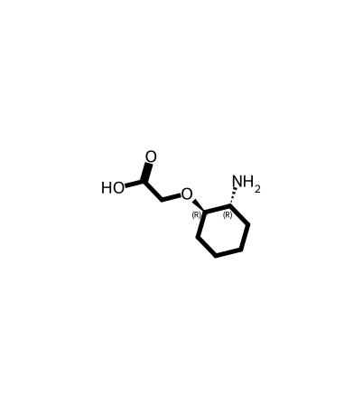 N[C@@H]1CCCC[C@H]1OCC(=O)O